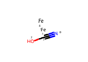 N#CO.[Fe].[Fe]